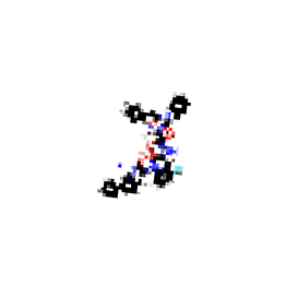 CC(NC(=O)[C@H](Cc1ccccc1)NC(=O)Cc1ccccc1)C(=O)C(=O)N[C@@H](Cc1ccccc1F)C(=O)N[C@@H](Cc1ccc(-c2ccccc2)cc1)C(N)=O